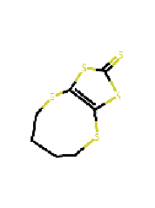 S=c1sc2c(s1)SCCCCS2